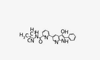 CC(C)(C#N)CNC(=O)c1cccc(-c2cnc3[nH]c(-c4ccccc4)c(O)c3c2)n1